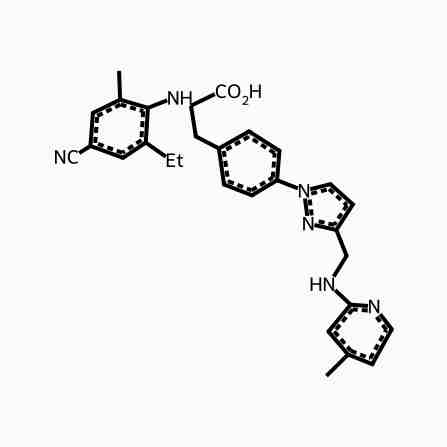 CCc1cc(C#N)cc(C)c1NC(Cc1ccc(-n2ccc(CNc3cc(C)ccn3)n2)cc1)C(=O)O